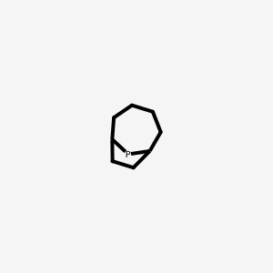 C1CCC2CCC(C1)[P]2